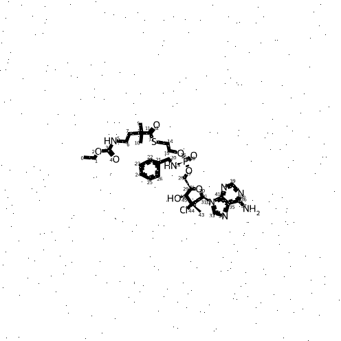 CCOC(=O)NCCC(C)(C)C(=O)SCCO[P@](=O)(NCc1ccccc1)OC[C@H]1O[C@@H](n2cnc3c(N)ncnc32)[C@](C)(Cl)[C@@H]1O